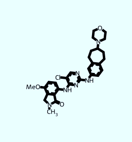 COc1ccc(Nc2nc(Nc3ccc4c(c3)CCC(N3CCOCC3)CC4)ncc2Cl)c2c1CN(C)C2=O